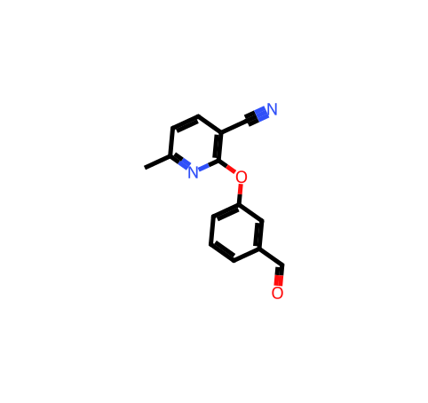 Cc1ccc(C#N)c(Oc2cccc(C=O)c2)n1